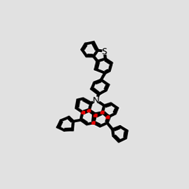 c1ccc(-c2ccc(-c3ccccc3N(c3ccc(-c4ccc5sc6ccccc6c5c4)cc3)c3ccccc3-c3ccc(-c4ccccc4)cc3)cc2)cc1